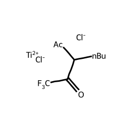 CCCCC(C(C)=O)C(=O)C(F)(F)F.[Cl-].[Cl-].[Ti+2]